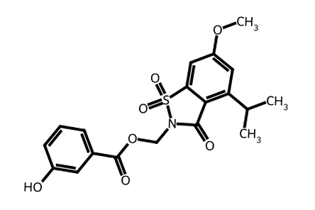 COc1cc(C(C)C)c2c(c1)S(=O)(=O)N(COC(=O)c1cccc(O)c1)C2=O